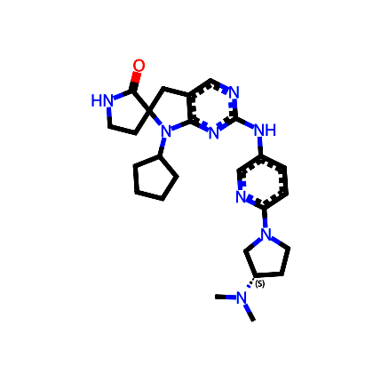 CN(C)[C@H]1CCN(c2ccc(Nc3ncc4c(n3)N(C3CCCC3)C3(CCNC3=O)C4)cn2)C1